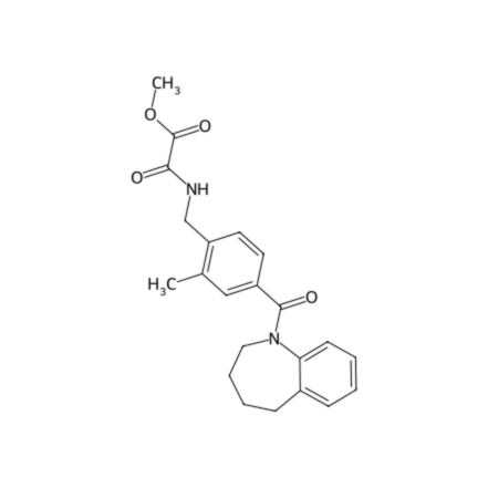 COC(=O)C(=O)NCc1ccc(C(=O)N2CCCCc3ccccc32)cc1C